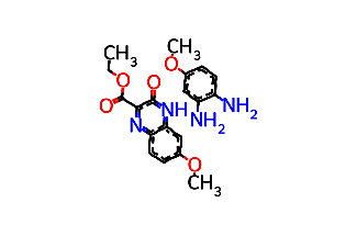 CCOC(=O)c1nc2ccc(OC)cc2[nH]c1=O.COc1ccc(N)c(N)c1